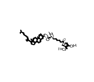 CC(C)CCCC(C)C1CCC2C3CC=C4CC(OC(=O)NCCCCCC(=O)N5CC(O)C(CO)C5)CCC4(C)C3CCC12C